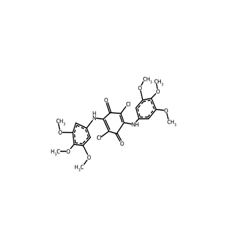 COc1cc(NC2=C(Cl)C(=O)C(Nc3cc(OC)c(OC)c(OC)c3)=C(Cl)C2=O)cc(OC)c1OC